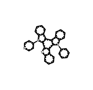 c1ccc(-n2c3ccccc3c3c4c5ccccc5n(-c5ccncc5)c4c4sc5ccccc5c4c32)cc1